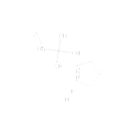 C1=CCC=C1.CC(C)(C)[NH][Zr].[H-].[H-]